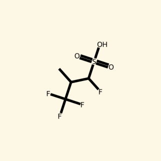 CC(C(F)S(=O)(=O)O)C(F)(F)F